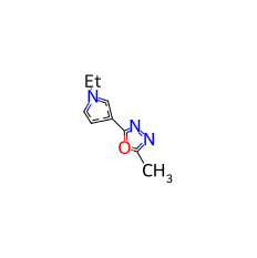 CCn1ccc(-c2nnc(C)o2)c1